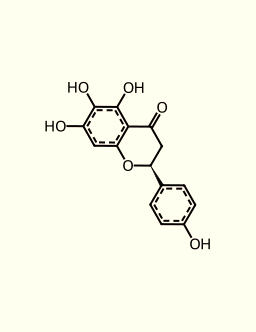 O=C1C[C@@H](c2ccc(O)cc2)Oc2cc(O)c(O)c(O)c21